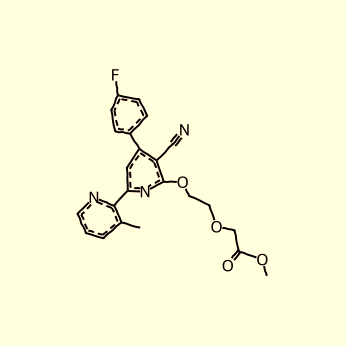 COC(=O)COCCOc1nc(-c2ncccc2C)cc(-c2ccc(F)cc2)c1C#N